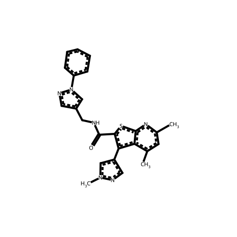 Cc1cc(C)c2c(-c3cnn(C)c3)c(C(=O)NCc3cnn(-c4ccccc4)c3)sc2n1